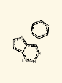 c1cc2[nH]nncc-2n1.c1cnccn1